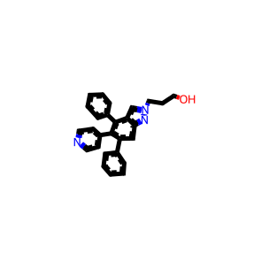 OCCCn1cc2c(-c3ccccc3)c(-c3ccncc3)c(-c3ccccc3)cc2n1